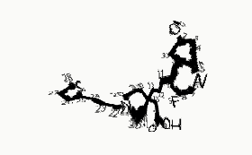 COc1ccc2ncc(F)c(CCCC3(CC(=O)O)CCN(CC#Cc4cccs4)CC3)c2c1